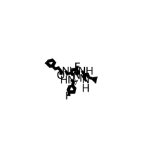 C[C@H](Nc1nc(Nc2cc(C3CC3)[nH]n2)c(F)cc1CNC(=O)CCc1ccccc1)c1ccc(F)cc1